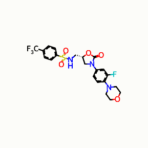 O=C1O[C@@H](CNS(=O)(=O)c2ccc(C(F)(F)F)cc2)CN1c1ccc(N2CCOCC2)c(F)c1